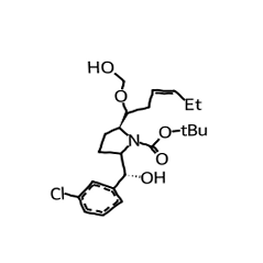 CC/C=C\CC(OCO)[C@@H]1CCC([C@H](O)c2cccc(Cl)c2)N1C(=O)OC(C)(C)C